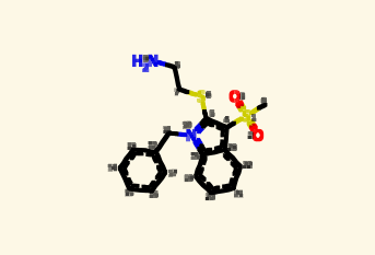 CS(=O)(=O)c1c(SCCN)n(Cc2ccccc2)c2ccccc12